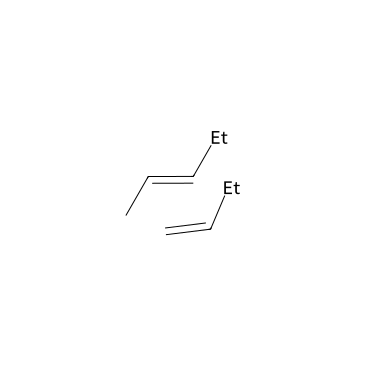 C=CCC.CC=CCC